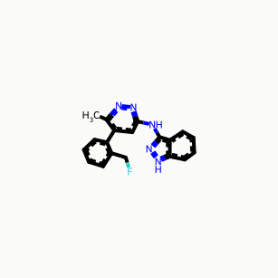 Cc1nnc(Nc2n[nH]c3ccccc23)cc1-c1ccccc1CF